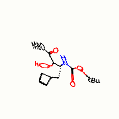 COC(=O)C(O)[C@@H](CC1CCC1)NC(=O)OC(C)(C)C